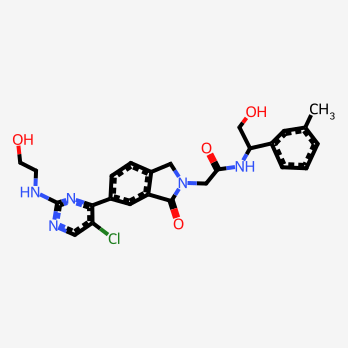 Cc1cccc(C(CO)NC(=O)CN2Cc3ccc(-c4nc(NCCO)ncc4Cl)cc3C2=O)c1